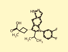 CC(C)c1c([C@H]2C[C@](C)(C(=O)O)C2)c2cc3[nH]ncc3cc2n1-c1ccc(F)c(F)c1